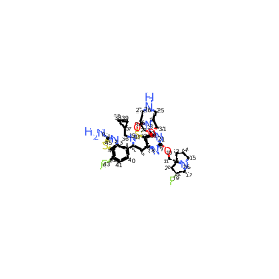 Nc1nc2c(C3=Cc4nc(OC[C@@]56CCCN5C[C@H](F)C6)nc(N5C6CNCC5COC6)c4[S+]([O-])N3CC3CC3)ccc(F)c2s1